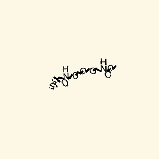 CCOC(=O)NCCOCCOCCOCCNC(=O)CC(C)(C)SSSC